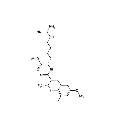 COC(=O)[C@H](CCCCNC(=N)N)NC(=O)C1=Cc2cc(OC(F)(F)F)cc(C)c2O[C@@H]1C(F)(F)F